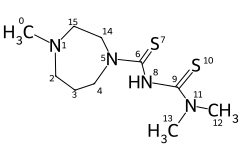 CN1CCCN(C(=S)NC(=S)N(C)C)CC1